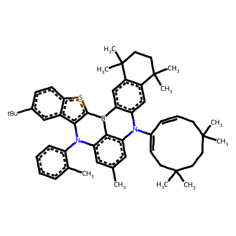 Cc1cc2c3c(c1)N(c1ccccc1C)c1c(sc4ccc(C(C)(C)C)cc14)B3c1cc3c(cc1N2C1=C/CC(C)(C)CCC(C)(C)C/C=C\1)C(C)(C)CCC3(C)C